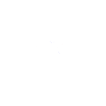 O=C(c1ccccc1)C1CNC(C(=O)N(c2ccccc2)C2CCCC2)C1